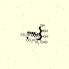 CC(=O)O.CC(=O)O.CC(=O)O.CC(=O)O.CC(=O)O.N[C@@H](C=O)[C@@H](O)[C@@H](O)[C@H](O)CO